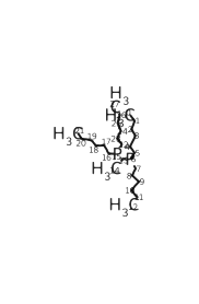 CCCCCCP(CCCCCC)C(C)P(CCCCCC)CCCCCC